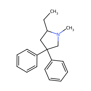 CCC1CC(c2ccccc2)(c2ccccc2)CN1C